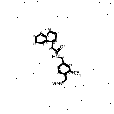 CNCc1ccc(CNC(=O)Cc2cccc3ccccc23)cc1C(F)(F)F